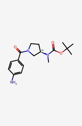 CN(C(=O)OC(C)(C)C)[C@@H]1CCN(C(=O)c2ccc(N)cc2)C1